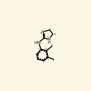 Cc1cccc(NC2=NCCN2)c1C